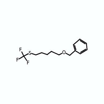 FC(F)(F)SCCCCCOCc1ccccc1